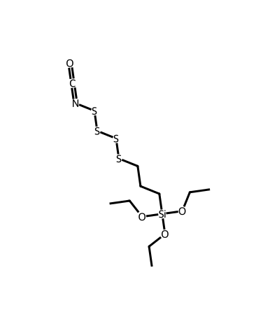 CCO[Si](CCCSSSSN=C=O)(OCC)OCC